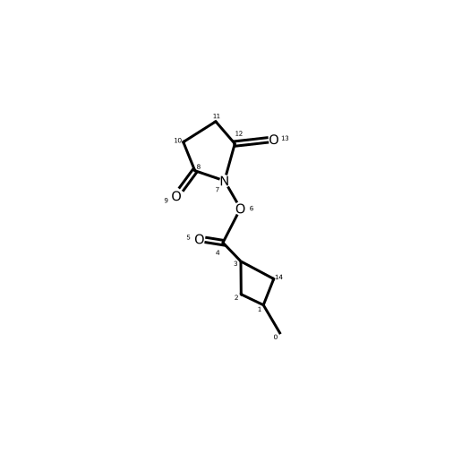 CC1CC(C(=O)ON2C(=O)CCC2=O)C1